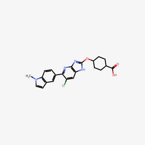 Cn1ccc2cc(-c3nc4nc(OC5CCC(C(=O)O)CC5)[nH]c4cc3Cl)ccc21